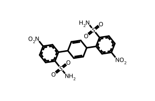 NS(=O)(=O)c1ccc([N+](=O)[O-])cc1C1C=CC(c2cc([N+](=O)[O-])ccc2S(N)(=O)=O)C=C1